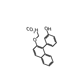 O=C(O)COc1ccc2ccccc2c1-c1cccc(O)c1